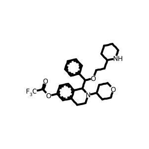 O=C(Oc1ccc2c(c1)CCN(C1CCOCC1)C2C(OCCC1CCCCN1)c1ccccc1)C(F)(F)F